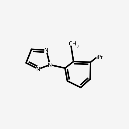 Cc1c(C(C)C)cccc1-n1nccn1